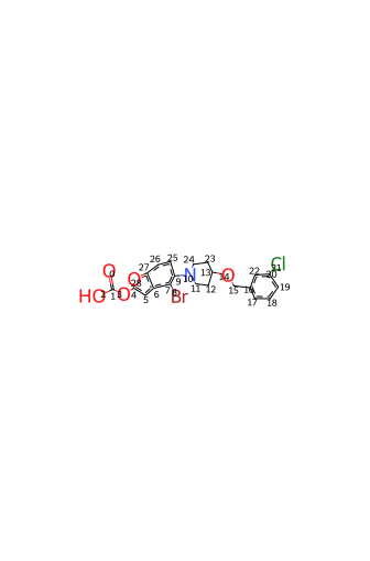 O=C(O)Oc1cc2c(Br)c(N3CCC(OCc4cccc(Cl)c4)CC3)ccc2o1